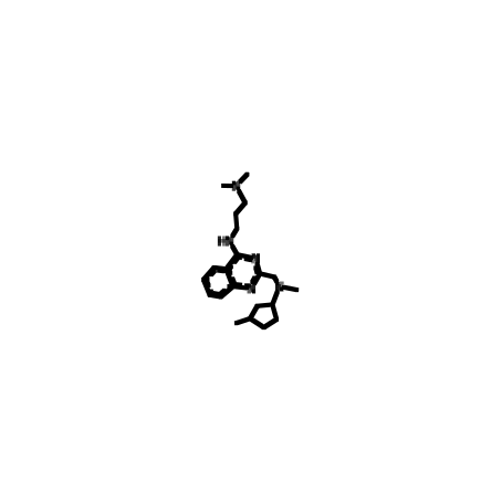 CC1CCC(N(C)Cc2nc(NCCCN(C)C)c3ccccc3n2)C1